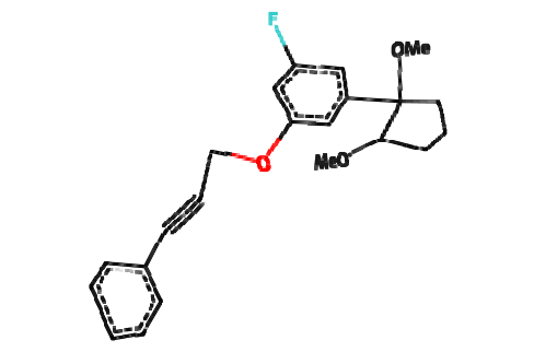 COC1CCCC1(OC)c1cc(F)cc(OCC#Cc2ccccc2)c1